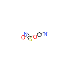 CN(C)Cc1ccc(OCc2scc3c2C=NC3=O)cc1